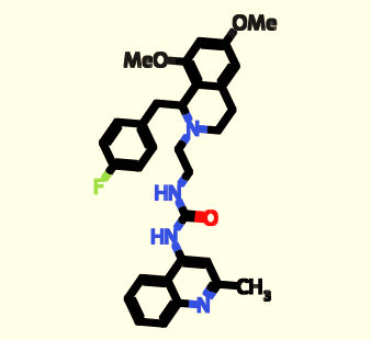 COc1cc2c(c(OC)c1)C(Cc1ccc(F)cc1)N(CCNC(=O)Nc1cc(C)nc3ccccc13)CC2